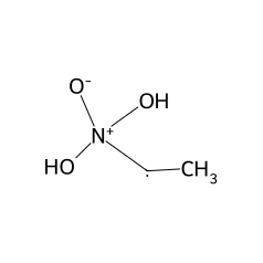 C[CH][N+]([O-])(O)O